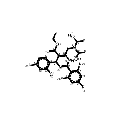 CCOC(=O)C1=C(CN(C(C)O)C(C)O)NC(c2c(F)cc(F)cc2F)=NC1c1ccc(F)cc1Cl